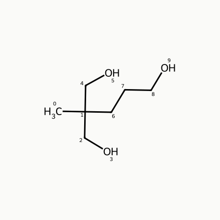 CC(CO)(CO)CCCO